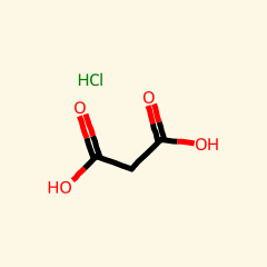 Cl.O=C(O)CC(=O)O